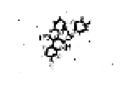 Cc1ccc(Oc2ccccc2-c2c(O)c3ccc(Cl)cc3[nH]c2=O)cc1